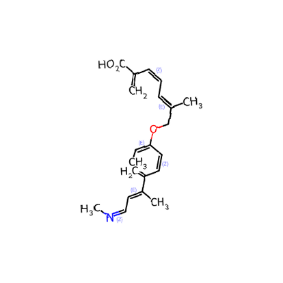 C=C(/C=C\C=C(/C)COC(/C=C\C(=C)/C(C)=C/C=N\C)=C/C)C(=O)O